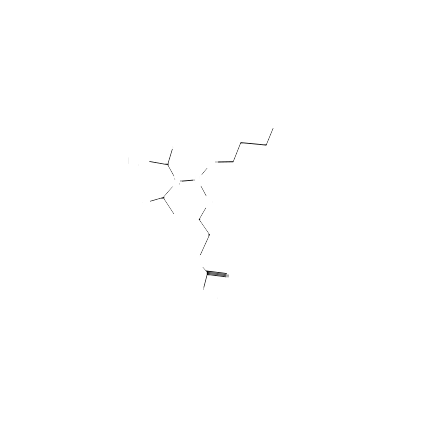 CCCCOP(OCCOC(C)=O)N(C(C)C)C(C)C